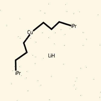 CC(C)CC[CH2][Cu][CH2]CCC(C)C.[LiH]